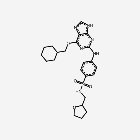 O=S(=O)(NCC1CCCO1)c1ccc(Nc2nc(OCC3CCCCC3)c3nc[nH]c3n2)cc1